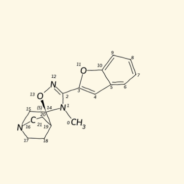 CN1C(c2cc3ccccc3o2)=NO[C@@]12CN1CCC2CC1